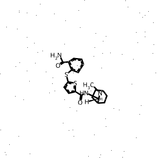 CN1C2CCC(CC2)[C@@H]1NC(=O)c1ccc(Sc2ccccc2C(N)=O)s1